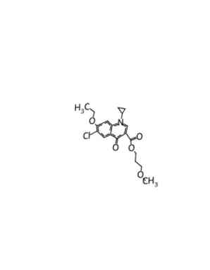 CCOc1cc2c(cc1Cl)c(=O)c(C(=O)OCCCOC)cn2C1CC1